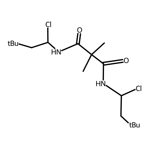 CC(C)(C)CC(Cl)NC(=O)C(C)(C)C(=O)NC(Cl)CC(C)(C)C